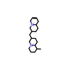 CC1CCCN2CC(CC3CCC4CC=CCN4C3)CCC12